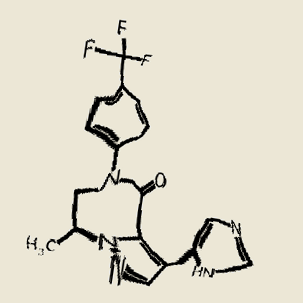 CC1CN(c2ccc(C(F)(F)F)cc2)C(=O)c2c(-c3cnc[nH]3)cnn21